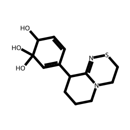 OC1C=CC(C2CCCN3CCSN=C23)=CC1(O)O